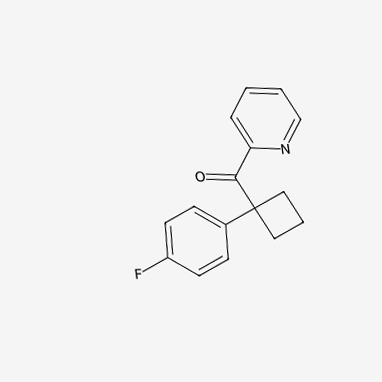 O=C(c1ccccn1)C1(c2ccc(F)cc2)CCC1